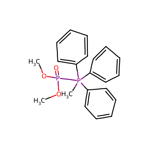 COP(=O)(OC)P(C)(c1ccccc1)(c1ccccc1)c1ccccc1